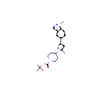 Cc1cc(-c2ccc3c(cnn3C)c2)nn1C1CCN(C(=O)OC(C)(C)C)CC1